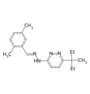 CCC(C)(CC)c1ccc(NN=Cc2cc(C)ccc2C)nn1